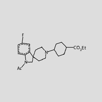 CCOC(=O)C1CCC(N2CCC3(CC2)CN(C(C)=O)c2ccc(F)cc23)CC1